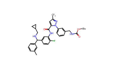 Cc1cccc(C(NCC2CC2)c2ccc(F)c(NC(=O)c3cc(C(F)(F)F)nn3-c3cccc(CNC(=O)OC(C)(C)C)c3)c2)c1